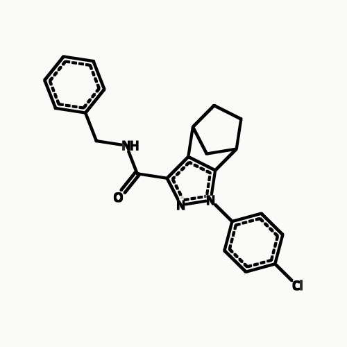 O=C(NCc1ccccc1)c1nn(-c2ccc(Cl)cc2)c2c1C1CCC2C1